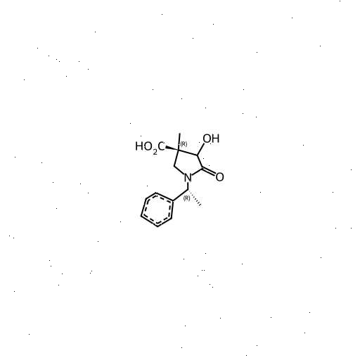 C[C@H](c1ccccc1)N1C[C@@](C)(C(=O)O)C(O)C1=O